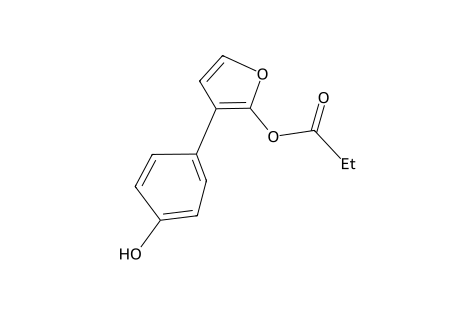 CCC(=O)Oc1occc1-c1ccc(O)cc1